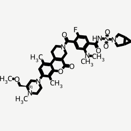 COC[C@H]1CN(c2cc(C)c3c4c(c(=O)oc3c2C)CN(C(=O)c2cc(N(C)C)c(C(=O)NS(=O)(=O)N3CC5CC5C3)cc2F)CC4)CCN1C